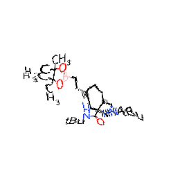 CC(=O)N[C@]1(C(=O)NC(C)(C)C)C[C@H](CCB2OC(C)(C)C(C)(C)O2)CC[C@H]1CNC(C)(C)C